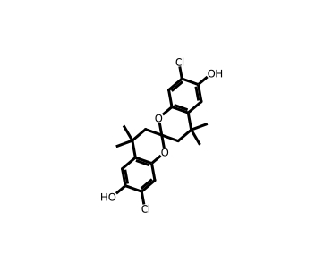 CC1(C)CC2(CC(C)(C)c3cc(O)c(Cl)cc3O2)Oc2cc(Cl)c(O)cc21